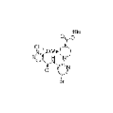 COc1c(C(=O)Nc2cc(Br)cnc2N2CCN(C(=O)OC(C)(C)C)CC2)cnn1C